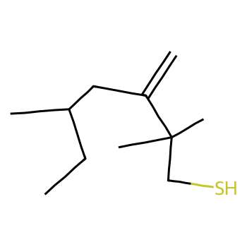 C=C(CC(C)CC)C(C)(C)CS